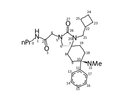 CCCNC(=O)CN1C[C@]2(CC[C@@](NC)(c3ccccc3)CC2)N(CC2CCC2)C1=O